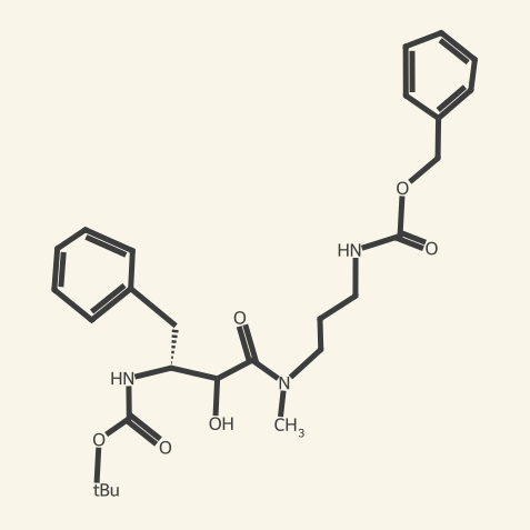 CN(CCCNC(=O)OCc1ccccc1)C(=O)C(O)[C@@H](Cc1ccccc1)NC(=O)OC(C)(C)C